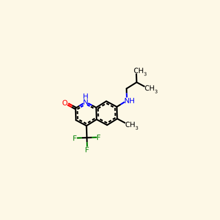 Cc1cc2c(C(F)(F)F)cc(=O)[nH]c2cc1NCC(C)C